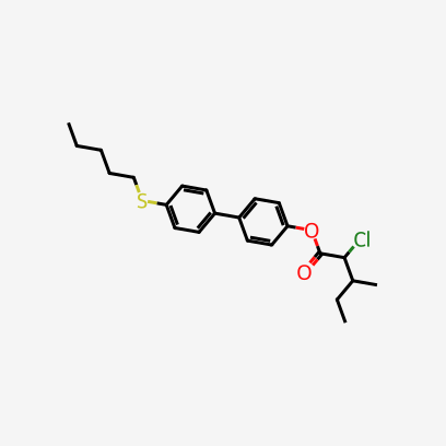 CCCCCSc1ccc(-c2ccc(OC(=O)C(Cl)C(C)CC)cc2)cc1